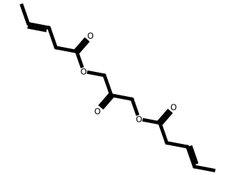 CC=CCC(=O)OCC(=O)COC(=O)CC=CC